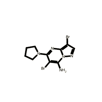 Nc1c(Br)c(N2CCCC2)nc2c(Br)cnn12